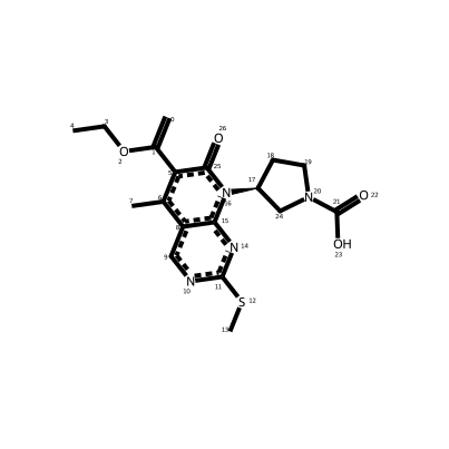 C=C(OCC)c1c(C)c2cnc(SC)nc2n([C@H]2CCN(C(=O)O)C2)c1=O